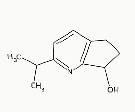 CC(C)c1ccc2c(n1)C(O)CC2